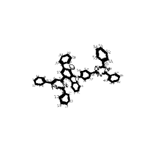 C1=CC2c3c(-c4cc(-c5ccccc5)nc(-c5ccccc5)n4)cc4c(oc5ccccc54)c3N(c3ccc(-c4nc(-c5ccccc5)nc(-c5ccccc5)n4)cc3)C2C=C1